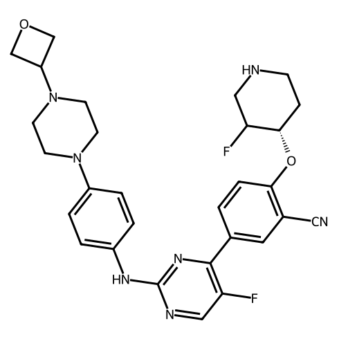 N#Cc1cc(-c2nc(Nc3ccc(N4CCN(C5COC5)CC4)cc3)ncc2F)ccc1O[C@H]1CCNCC1F